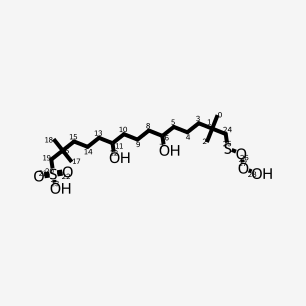 CC(C)(CCCC(O)CCCC(O)CCCC(C)(C)CS(=O)(=O)O)CSOOO